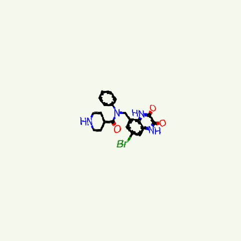 O=C(C1CCNCC1)N(Cc1cc(Br)cc2[nH]c(=O)c(=O)[nH]c12)c1ccccc1